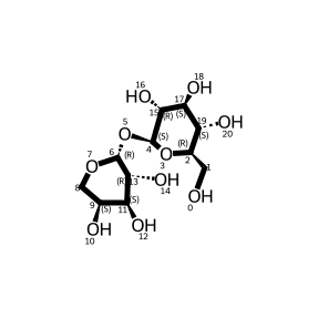 OC[C@H]1O[C@@H](O[C@H]2OC[C@H](O)[C@H](O)[C@H]2O)[C@H](O)[C@@H](O)[C@@H]1O